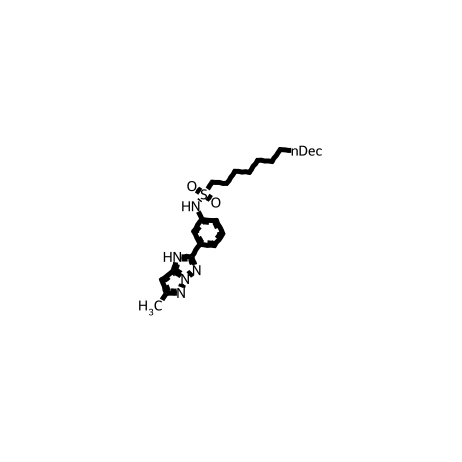 CCCCCCCCCCCCCCCCCS(=O)(=O)Nc1cccc(-c2nn3nc(C)cc3[nH]2)c1